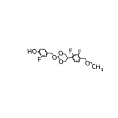 CCOCc1ccc(C2COC(OCc3ccc(O)c(F)c3)OC2)c(F)c1F